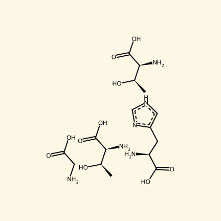 C[C@@H](O)[C@H](N)C(=O)O.C[C@@H](O)[C@H](N)C(=O)O.NCC(=O)O.N[C@@H](Cc1c[nH]cn1)C(=O)O